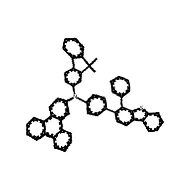 CC1(C)c2ccccc2-c2ccc(N(c3ccc(-c4ccc5c(sc6ccccc65)c4-c4ccccc4)cc3)c3ccc4c5ccccc5c5ccccc5c4c3)cc21